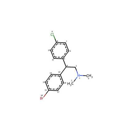 CN(C)CC(c1ccc(Cl)cc1)c1ccc(Br)cc1